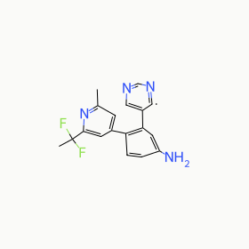 Cc1cc(-c2ccc(N)cc2-c2[c]ncnc2)cc(C(C)(F)F)n1